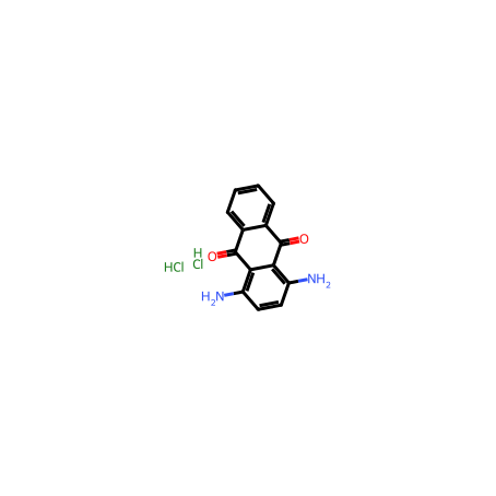 Cl.Cl.Nc1ccc(N)c2c1C(=O)c1ccccc1C2=O